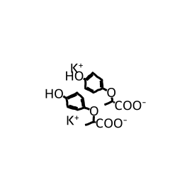 C[C@@H](Oc1ccc(O)cc1)C(=O)[O-].C[C@@H](Oc1ccc(O)cc1)C(=O)[O-].[K+].[K+]